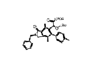 COC(=O)C(OC(C)(C)C)c1c(C)c2c(c(C)c1-c1ccc(C)cc1)CN(Cc1ccccc1)C2=O